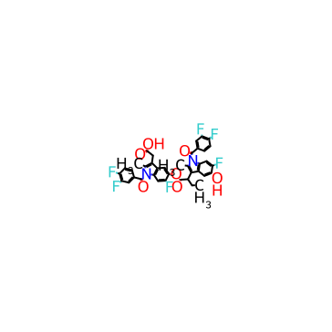 CCC(C(=O)Oc1cc2c(CC(=O)O)c(C)n(C(=O)c3ccc(F)c(F)c3)c2cc1F)c1c(C)n(C(=O)c2ccc(F)c(F)c2)c2cc(F)c(O)cc12